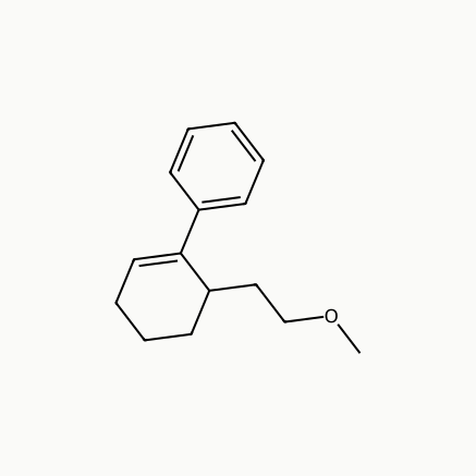 COCCC1CCCC=C1c1ccccc1